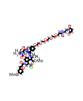 COC(=O)c1c(C)[nH]c2c(OC(=O)N(C)C(C)(C)C(=O)N(C)N=C(C)c3ccc(OCCOCCOCCOCCOCCC(=O)NCCN4C(=O)C=CC4=O)cc3)cc3c(c12)[C@H](CCl)CN3C(=O)c1cc2cc(OC)ccc2o1